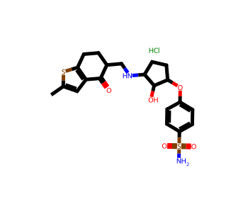 Cc1cc2c(s1)CCC(CNC1CCC(Oc3ccc(S(N)(=O)=O)cc3)C1O)C2=O.Cl